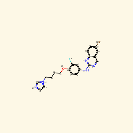 Fc1cc(Nc2ncc3cc(Br)ccc3n2)ccc1OCCCCn1ccnc1